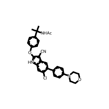 CC(=O)NC(C)(C)c1ccc(Oc2[nH]c3cc(Cl)c(-c4ccc(N5CCOCC5)cc4)cc3c2C#N)cc1